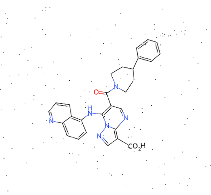 O=C(O)c1cnn2c(Nc3cccc4ncccc34)c(C(=O)N3CCC(c4ccccc4)CC3)cnc12